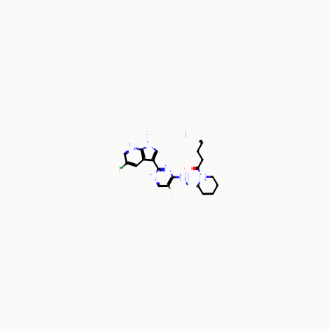 C=CCCC(=O)N1CCCC[C@@H]1CNc1nc(-c2c[nH]c3ncc(Cl)cc23)ncc1F